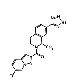 CC1c2cc(-c3nn[nH]n3)ccc2CCN1C(=O)c1cc2ccc(Cl)cn2n1